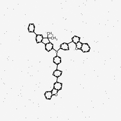 CC1(C)c2cc(-c3ccccc3)ccc2-c2ccc(N(c3ccc(-c4ccc(-c5ccc6oc7ccccc7c6c5)cc4)cc3)c3ccc(-c4cccc5c4oc4ccccc45)cc3)cc21